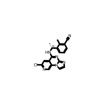 Cc1c(C#N)cccc1[C@@H](C)Nc1nc2nccn2c2cnc(Cl)cc12